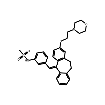 CS(=O)(=O)Nc1cccc(C=C2c3ccccc3CCc3cc(OCCN4CCOCC4)ccc32)c1